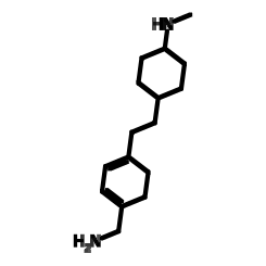 CNC1CCC(CCC2=CC=C(CN)CC2)CC1